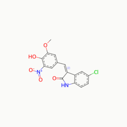 COc1cc(/C=C2\C(=O)Nc3ccc(Cl)cc32)cc([N+](=O)[O-])c1O